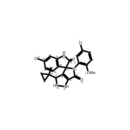 COc1ccc(Cl)cc1N1C(=O)C2=C(C(C3(C)CC3)NN2)C12C(=O)Nc1cc(Cl)ccc12